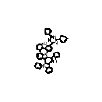 c1ccc(-c2nc(-c3ccccc3)nc(-c3ccc(-n4c5ccccc5c5c6c(c7ccccc7n6-c6ccccc6)c6oc7ccccc7c6c54)c4c3oc3ccccc34)n2)cc1